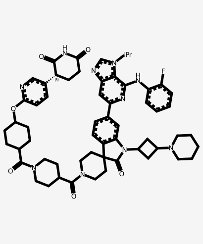 CC(C)n1cnc2cc(-c3ccc4c(c3)N(C3CC(N5CCCCC5)C3)C(=O)C43CCN(C(=O)C4CCN(C(=O)C5CCC(Oc6ccc([C@H]7CCC(=O)NC7=O)cn6)CC5)CC4)CC3)nc(Nc3ccccc3F)c21